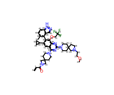 C=CC(=O)N1CC2(CCN(c3nc(N4CCC5(CCN(CCOC)C5)CC4)nc4c(OCC(F)(F)F)c(-c5c(C)ccc6[nH]ncc56)c(C5CC5)cc34)CC2)C1